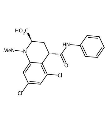 CNN1c2cc(Cl)cc(Cl)c2[C@@H](C(=O)Nc2ccccc2)C[C@@H]1C(=O)O